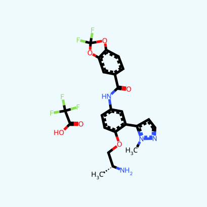 C[C@@H](N)COc1ccc(NC(=O)c2ccc3c(c2)OC(F)(F)O3)cc1-c1ccnn1C.O=C(O)C(F)(F)F